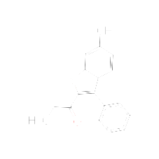 CCC(=O)C1=C(c2ccccc2)C2C=CC(C)=CC2S1